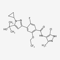 Cc1n[nH]c(Cl)c1NC(=O)c1cc(F)c(-c2cc(C(C)(C)O)n(C3CC3)n2)cc1OCC(F)(F)F